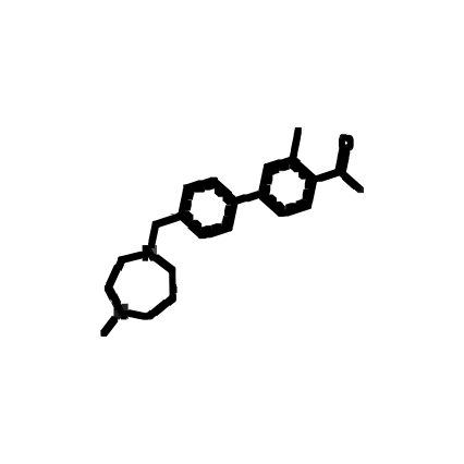 CC(=O)c1ccc(-c2ccc(CN3CCCN(C)CC3)cc2)cc1C